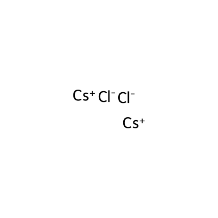 [Cl-].[Cl-].[Cs+].[Cs+]